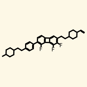 C=CC1CCC(CCc2cc3c(c(F)c2F)-c2c-3ccc(-c3ccc(CCC4CCC(C)CC4)cc3)c2F)CC1